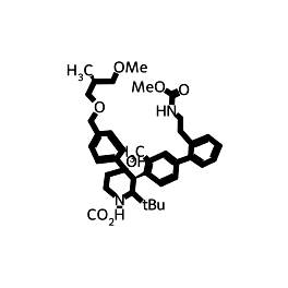 COC[C@H](C)COCc1ccc([C@@]2(O)CCN(C(=O)O)C(C(C)(C)C)[C@@H]2c2ccc(-c3ccccc3CCNC(=O)OC)cc2C)cc1